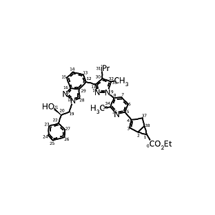 CCOC(=O)C1C2C=C(c3ccc(-n4nc(-c5cccc6nn(C[C@H](O)c7ccccc7)cc56)c(C(C)C)c4C)c(C)n3)CC21